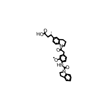 COc1cc(CC(=O)N2CCCc3cc([C@@H](C)CC(=O)O)ccc32)ccc1NC(=O)N1CCc2ccccc21